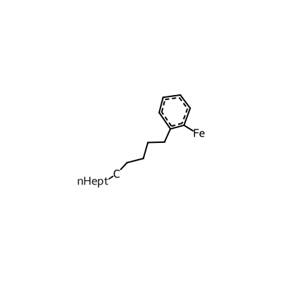 CCCCCCCCCCCCc1cccc[c]1[Fe]